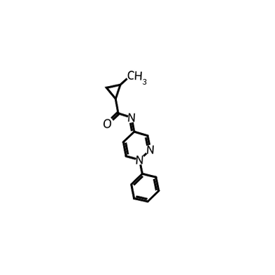 CC1CC1C(=O)/N=c1\ccn(-c2ccccc2)nc1